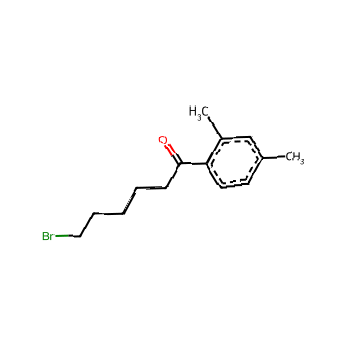 Cc1ccc(C(=O)CCCCCBr)c(C)c1